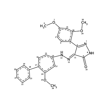 COc1ccc(C2=NNC(=O)/C2=N/Nc2ccc(-c3ccccc3)c(OC)c2)c(OC)c1